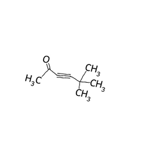 CC(=O)C#CC(C)(C)C